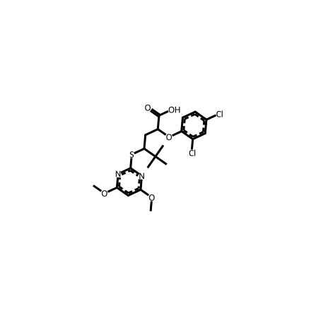 COc1cc(OC)nc(SC(CC(Oc2ccc(Cl)cc2Cl)C(=O)O)C(C)(C)C)n1